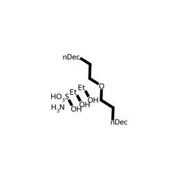 CCCCCCCCCCCCOCCCCCCCCCCCC.CCO.CCO.N.O=S(=O)(O)O